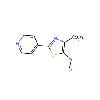 CCOC(=O)c1nc(-c2ccncc2)sc1CC(C)C